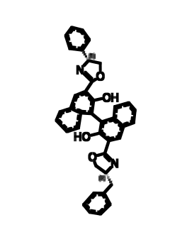 Oc1c(C2=N[C@H](Cc3ccccc3)CO2)cc2ccccc2c1-c1c(O)c(C2=N[C@H](c3ccccc3)CO2)cc2ccccc12